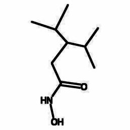 CC(C)C(CC(=O)NO)C(C)C